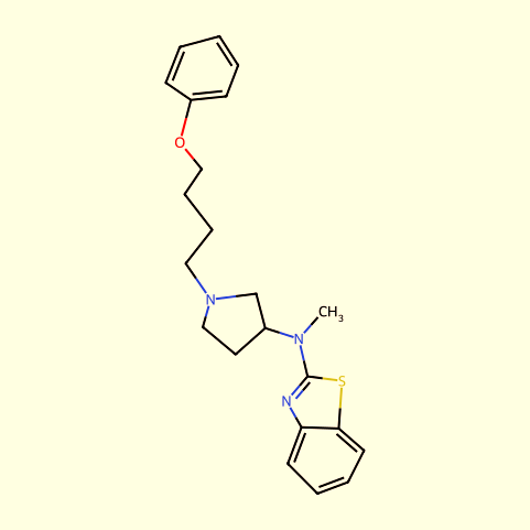 CN(c1nc2ccccc2s1)C1CCN(CCCCOc2ccccc2)C1